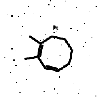 CC1=C(\C)CCCC/C=C\1.[Pt]